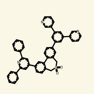 O=S1(=O)Cc2cc(-c3cc(-c4cccnc4)cc(-c4cccnc4)c3)ccc2-c2cc(-c3cc(-c4ccccc4)nc(-c4ccccc4)c3)ccc2C1